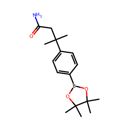 CC(C)(CC(N)=O)c1ccc(B2OC(C)(C)C(C)(C)O2)cc1